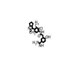 Cc1cc(NC(=O)Cc2cc(C(=N)N)ccc2O)ccc1-c1c2c(nn1C)CCC2.Cl